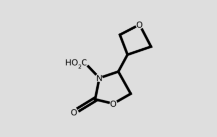 O=C(O)N1C(=O)OCC1C1COC1